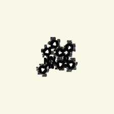 c1ccc(-c2cccc(-c3nc(-c4ccccc4)nc(-c4ccc5c6ccccc6n(-c6cc7ccccc7c7ccccc67)c5c4)n3)c2)cc1